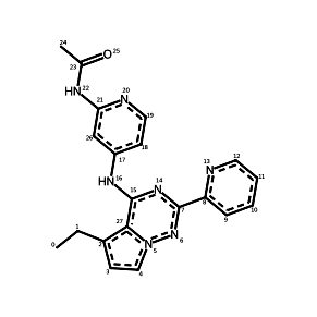 CCc1ccn2nc(-c3ccccn3)nc(Nc3ccnc(NC(C)=O)c3)c12